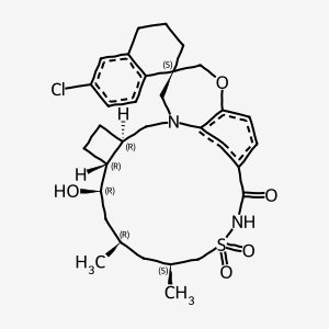 C[C@@H]1C[C@H](C)CS(=O)(=O)NC(=O)c2ccc3c(c2)N(C[C@@H]2CC[C@H]2[C@H](O)C1)C[C@@]1(CCCc2cc(Cl)ccc21)CO3